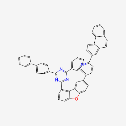 c1ccc(-c2ccc(-c3nc(-c4ccccc4)nc(-c4cccc5oc6ccc(-c7ccc(-c8ccc9c(ccc%10ccccc%109)c8)nc7)cc6c45)n3)cc2)cc1